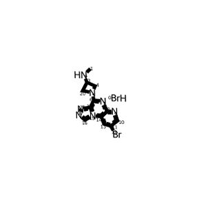 Br.CNC1CN(c2nc3ncc(Br)cc3n3cnnc23)C1